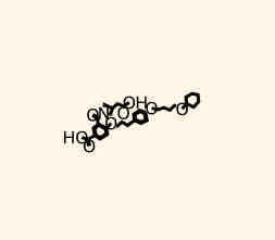 O=C(O)CC1CN(C(=O)c2cc(C(=O)O)ccc2OCCCc2ccc(OCCCCOC3CCCCC3)cc2)C1